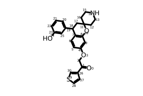 O=C(COc1ccc2c(c1)OC1(CCNCC1)CC2c1cccc(O)c1)c1ccsc1